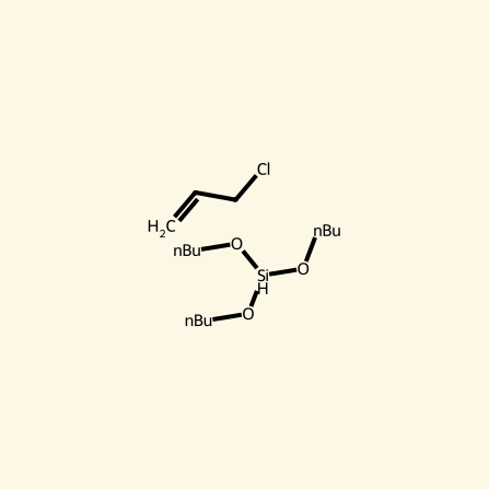 C=CCCl.CCCCO[SiH](OCCCC)OCCCC